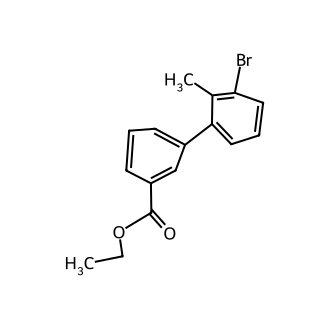 CCOC(=O)c1cccc(-c2cccc(Br)c2C)c1